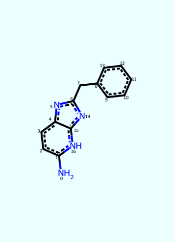 Nc1ccc2nc(Cc3ccccc3)nc-2[nH]1